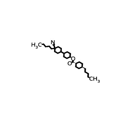 CCCCCC1(C#N)CCC(C2CCC(OC(=O)[C@H]3CC[C@H](CCCCC)CC3)CC2)CC1